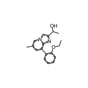 CCOc1ccccc1-c1cc(C)cn2cc(C(C)O)nc12